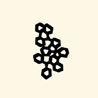 c1ccc(-c2ccccc2N(c2ccccc2)c2cccc3c2-c2ccccc2C32c3ccccc3-c3c2cc(N(c2ccccc2)c2ccccc2)c2ccccc32)cc1